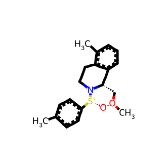 COC[C@H]1c2cccc(C)c2CCN1[S@+]([O-])c1ccc(C)cc1